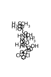 CC(C)[C@H](NC(=O)CCC(=O)OC(C)(C)C)C1=NOC(C)(C(=O)N[C@@H](CC(=O)O)C(=O)COC(=O)c2c(Cl)cccc2Cl)C1